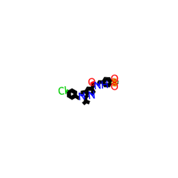 CC(C)C1c2ncc(C(=O)NCc3ccc(S(C)(=O)=O)cc3)cc2CN1Cc1ccc(Cl)cc1